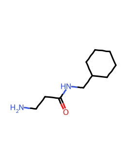 NCCC(=O)NCC1CCCCC1